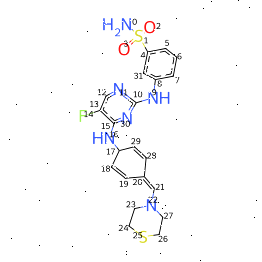 NS(=O)(=O)c1cccc(Nc2ncc(F)c(NC3C=CC(=CN4CCSCC4)C=C3)n2)c1